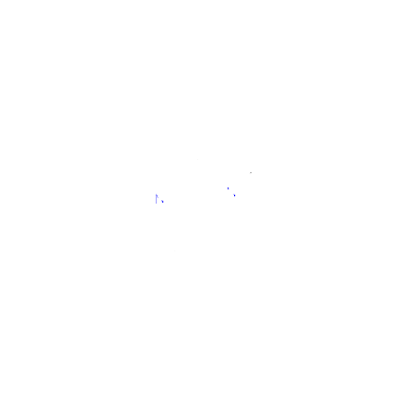 CC1(C)Cc2ccccc2C(c2cc3ccccc3cn2)=N1